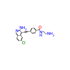 NCCNC(=O)c1ccc(C#Cc2c(N)ncc3ccc(Cl)cc23)cc1